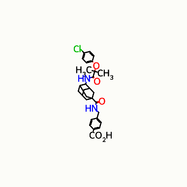 CC(C)(Oc1ccc(Cl)cc1)C(=O)NC1C2CC3CC1CC(C(=O)NCc1ccc(C(=O)O)cc1)(C3)C2